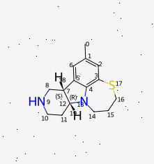 Cc1cc2c3c(c1)[C@H]1CNCC[C@H]1N3CCCS2